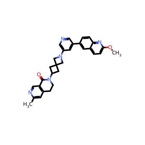 COc1ccc2cc(-c3cncc(N4CC5(CC(N6CCc7cc(C)ncc7C6=O)C5)C4)c3)ccc2n1